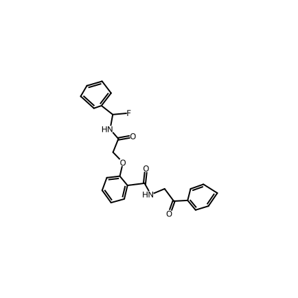 O=C(COc1ccccc1C(=O)NCC(=O)c1ccccc1)NC(F)c1ccccc1